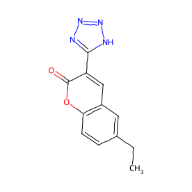 CCc1ccc2oc(=O)c(-c3nnn[nH]3)cc2c1